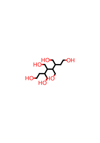 OCCC(CO)C(CO)C(CO)C(CO)CCO